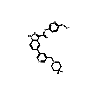 CC(C)Oc1ccc(NC(=O)c2n[nH]c3ccc(-c4cncc(CN5CCC(F)(F)CC5)c4)cc23)cn1